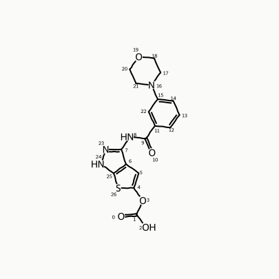 O=C(O)Oc1cc2c(NC(=O)c3cccc(N4CCOCC4)c3)n[nH]c2s1